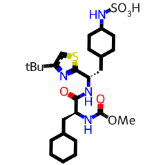 COC(=O)N[C@@H](CC1CCCCC1)C(=O)N[C@@H](CC1CCC(NS(=O)(=O)O)CC1)c1nc(C(C)(C)C)cs1